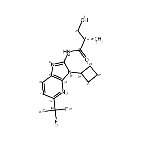 C[C@@H](CO)C(=O)Nc1nc2ccc(C(F)(F)F)nc2n1C1CCC1